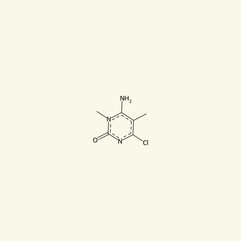 Cc1c(Cl)nc(=O)n(C)c1N